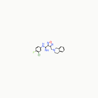 N=C(Nc1ccc(F)c(Cl)c1)c1nonc1CN1CCc2ccccc2C1